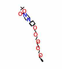 C#CCOCCOCCOCCOCCOc1ccc(N2CCN(C(=O)OC(C)(C)C)CC2)cc1